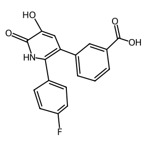 O=C(O)c1cccc(-c2cc(O)c(=O)[nH]c2-c2ccc(F)cc2)c1